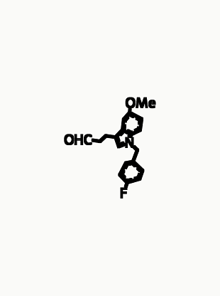 COc1ccc2c(c1)c(CCC=O)cn2Cc1ccc(F)cc1